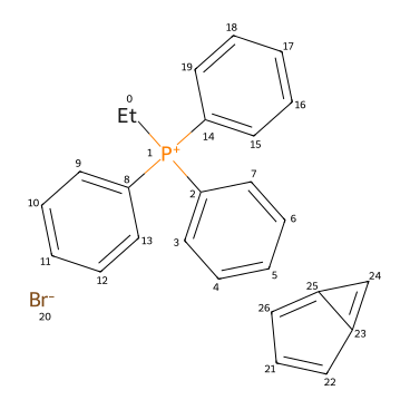 CC[P+](c1ccccc1)(c1ccccc1)c1ccccc1.[Br-].c1cc2cc-2c1